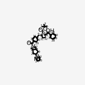 CC(C)(C)OC(=O)N1[C@H](Cc2ccc(C(=O)N3CC4CC(n5cccn5)CC4C3)cc2)CC[C@@H]1[C@H](O)c1ccccc1